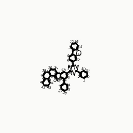 c1ccc(-c2nc(-c3ccc4c(c3)oc3ccccc34)nc(-c3cc(-c4ccccc4)c4[se]c5c(ccc6ccc7ccccc7c65)c4c3)n2)cc1